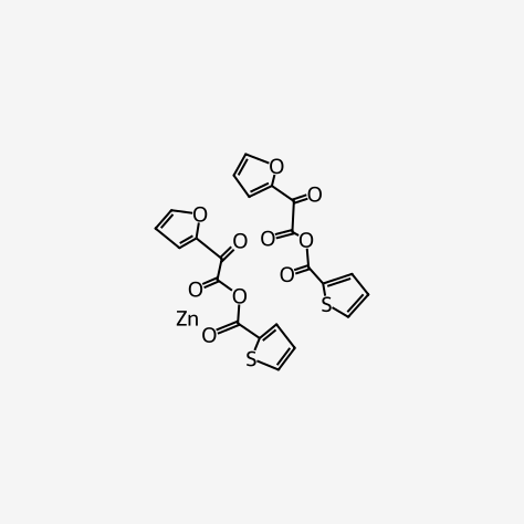 O=C(OC(=O)c1cccs1)C(=O)c1ccco1.O=C(OC(=O)c1cccs1)C(=O)c1ccco1.[Zn]